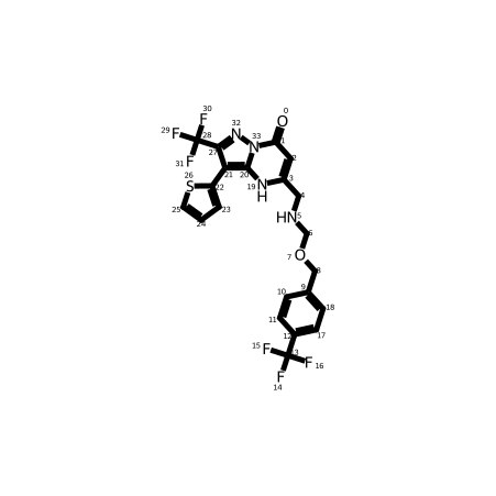 O=c1cc(CNCOCc2ccc(C(F)(F)F)cc2)[nH]c2c(-c3cccs3)c(C(F)(F)F)nn12